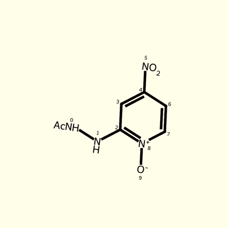 CC(=O)NNc1cc([N+](=O)[O-])cc[n+]1[O-]